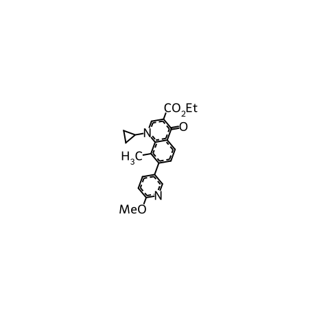 CCOC(=O)c1cn(C2CC2)c2c(C)c(-c3ccc(OC)nc3)ccc2c1=O